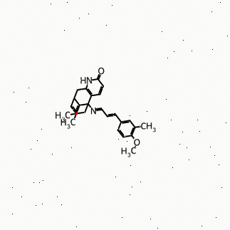 C/C=C1\C2C=C(C)CC1(/N=C/C=C/c1ccc(OC)c(C)c1)c1ccc(=O)[nH]c1C2